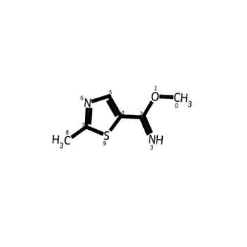 COC(=N)c1cnc(C)s1